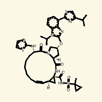 CC(C)c1csc(-c2cccc3c2nc(O[C@@H]2C[C@H]4C(=O)N[C@]5(C(=O)NS(=O)(=O)C6(C)CC6)C[C@H]5/C=C\CCCCC[C@H](Nc5nccs5)C(=O)N4C2)n3C(C)C)n1